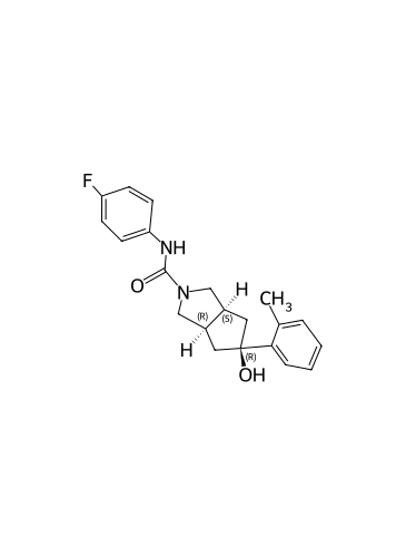 Cc1ccccc1[C@]1(O)C[C@H]2CN(C(=O)Nc3ccc(F)cc3)C[C@H]2C1